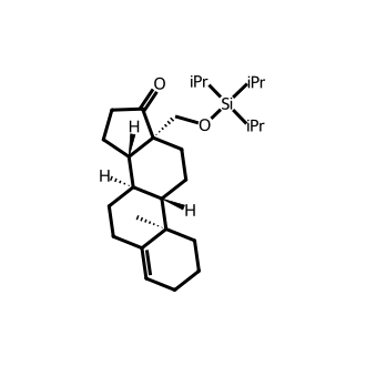 CC(C)[Si](OC[C@]12CC[C@H]3[C@@H](CCC4=CCCC[C@@]43C)[C@@H]1CCC2=O)(C(C)C)C(C)C